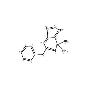 CC(C)(C)C1(N)N=C(Cc2ccccc2)N=C2N=CN=C21